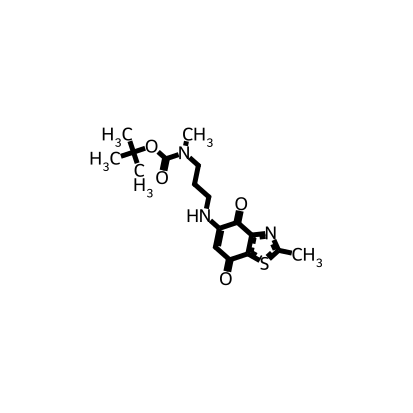 Cc1nc2c(s1)C(=O)C=C(NCCCN(C)C(=O)OC(C)(C)C)C2=O